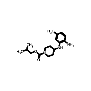 Cc1ccc(N)c(NC2CCN(C(=O)OCC(C)C)CC2)c1